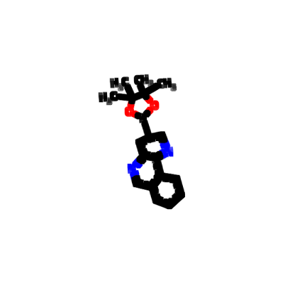 CC1(C)OB(c2cnc3c(c2)ncc2ccccc23)OC1(C)C